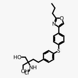 CCCc1nc(-c2ccc(Sc3ccc(CCC(CO)(CO)NCl)cc3)cc2)co1